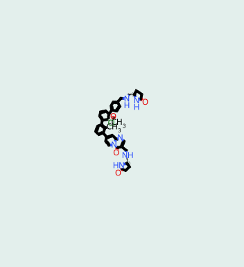 COC1(c2ccc(CNC[C@@H]3CCC(=O)N3)cc2)C=CC=C(c2cccc(-c3ccn4c(=O)c(CNC[C@@H]5CCC(=O)N5)cnc4c3)c2C)C1Cl